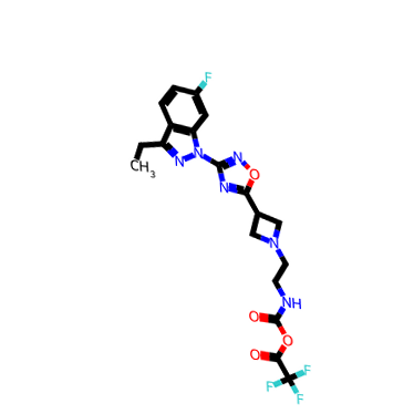 CCc1nn(-c2noc(C3CN(CCNC(=O)OC(=O)C(F)(F)F)C3)n2)c2cc(F)ccc12